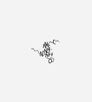 C=CCCCN1CC(NCC2CCCO2)[N+]([O-])(c2nnc(CCCCCC)s2)C1